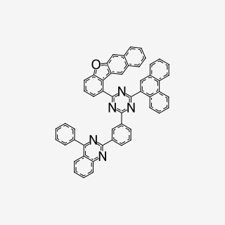 c1ccc(-c2nc(-c3cccc(-c4nc(-c5cc6ccccc6c6ccccc56)nc(-c5cccc6oc7cc8ccccc8cc7c56)n4)c3)nc3ccccc23)cc1